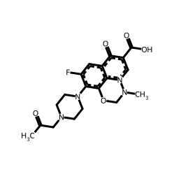 CC(=O)CN1CCN(c2c(F)cc3c(=O)c(C(=O)O)cn4c3c2OCN4C)CC1